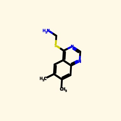 Cc1cc2ncnc(SCN)c2cc1C